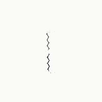 CCCCCCCCCCCCCCCCOCCCCCCCCCCCCCCCC